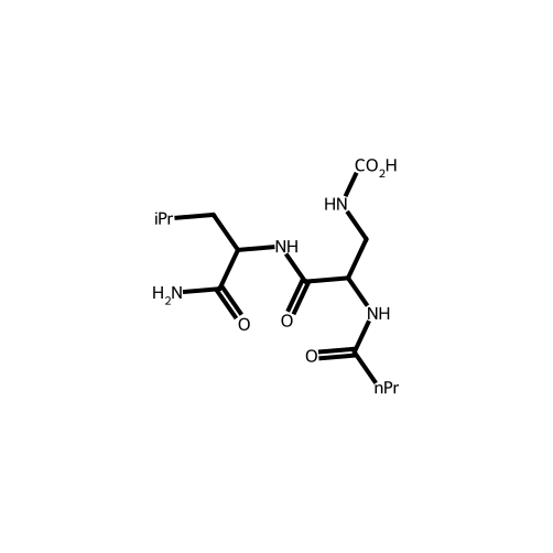 CCCC(=O)NC(CNC(=O)O)C(=O)NC(CC(C)C)C(N)=O